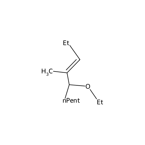 CC/C=C(\C)C(CCCCC)OCC